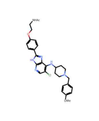 COc1ccc(CN2CCC(Nc3c(Cl)cnc4[nH]c(-c5ccc(OCCNC(C)=O)cc5)nc34)CC2)cc1